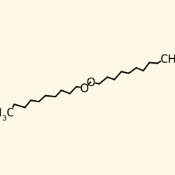 CCCCCCCCCCOOCCCCCCCCCC